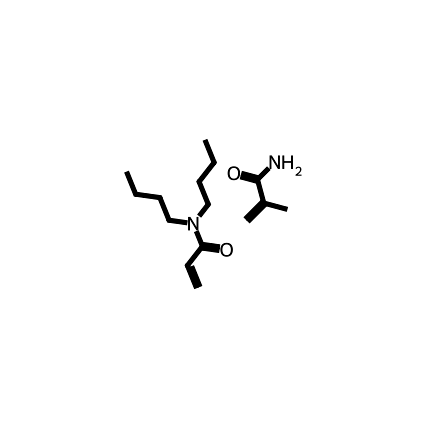 C=C(C)C(N)=O.C=CC(=O)N(CCCC)CCCC